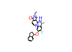 CCN1Cc2c(ccnc2N[C@@H](C)c2ccc(OC3CCc4ccccc43)c(F)c2)C1=O